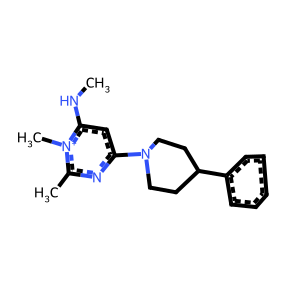 CNc1cc(N2CCC(c3ccccc3)CC2)nc(C)[n+]1C